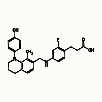 Cc1c(CNc2ccc(CCC(=O)O)c(F)c2)ccc2c1N(c1ccc(O)cc1)CCC2